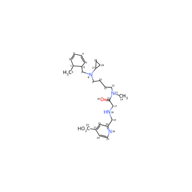 CC1C=CC=CC1CN(CCCCN(C)C(=O)CNCc1cc(C(=O)O)ccn1)C1CC1